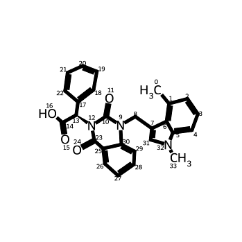 Cc1cccc2c1c(Cn1c(=O)n([C@@H](C(=O)O)c3ccccc3)c(=O)c3ccccc31)cn2C